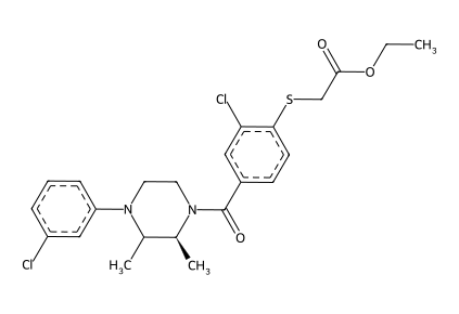 CCOC(=O)CSc1ccc(C(=O)N2CCN(c3cccc(Cl)c3)C(C)[C@@H]2C)cc1Cl